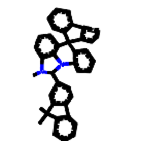 CN1c2cccc3c2N(c2ccccc2C32c3ccccc3-c3ccccc32)C1c1ccc2c(c1)C(C)(C)c1ccccc1-2